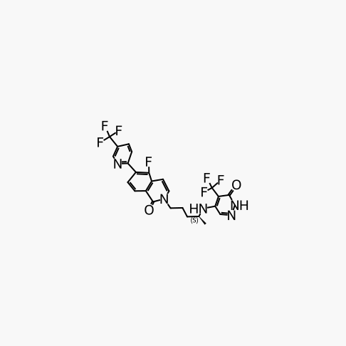 C[C@@H](CCCn1ccc2c(F)c(-c3ccc(C(F)(F)F)cn3)ccc2c1=O)Nc1cn[nH]c(=O)c1C(F)(F)F